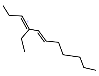 CC/[C]=C(/C=CCCCCC)CC